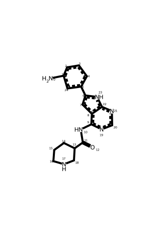 Nc1cccc(-c2cc3c(NC(=O)C4CCCNC4)ncnc3[nH]2)c1